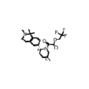 C[C@H]1CC[C@H](c2ccc3c(c2)CCN(C)C3(C)C)N(C(=O)C(=O)OCC(F)(F)F)C1